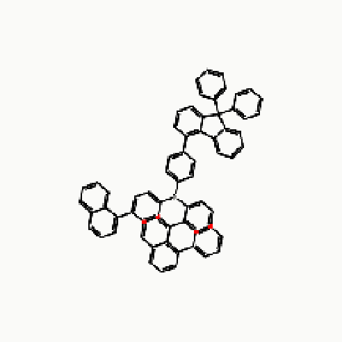 c1ccc(-c2cccc3cccc(-c4ccccc4N(c4ccc(-c5cccc6c5-c5ccccc5C6(c5ccccc5)c5ccccc5)cc4)c4ccc(-c5cccc6ccccc56)cc4)c23)cc1